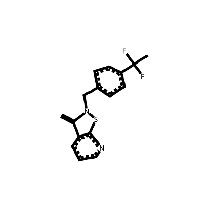 C=C1c2cccnc2SN1Cc1ccc(C(C)(F)F)cc1